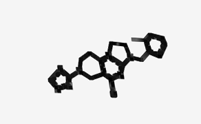 Cc1ccccc1CN1CCn2c1nc(=O)c1c2CCN(c2nncs2)C1